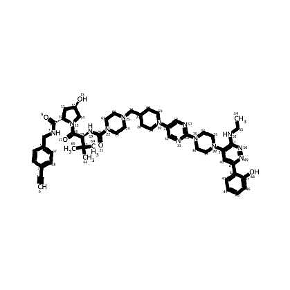 C#Cc1ccc(CNC(=O)[C@@H]2C[C@@H](O)CN2C(=O)[C@@H](NC(=O)N2CCN(CC3CCN(c4cnc(N5CCN(c6cc(-c7ccccc7O)nnc6NCC)CC5)nc4)CC3)CC2)C(C)(C)C)cc1